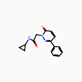 O=C(Cn1nc(-c2ccccc2)ccc1=O)NC1CC1